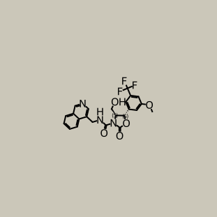 COc1cc([C@@H]2OC(=O)N(C(=O)NCc3cncc4ccccc34)[C@H]2CO)cc(C(F)(F)F)c1